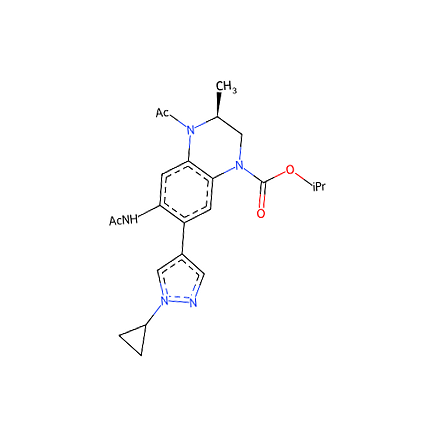 CC(=O)Nc1cc2c(cc1-c1cnn(C3CC3)c1)N(C(=O)OC(C)C)C[C@H](C)N2C(C)=O